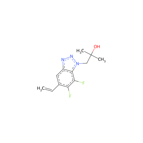 C=Cc1cc2nnn(CC(C)(C)O)c2c(F)c1F